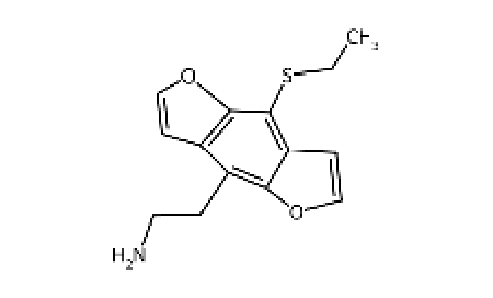 CCSc1c2ccoc2c(CCN)c2ccoc12